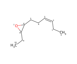 CC/C=C\CCC1OC1CC